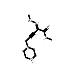 CO/N=C(\C#CCN1CCOCC1)C(=O)OC